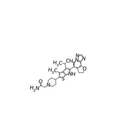 Cc1c(C2CCN(CC(N)=O)CC2)sc2[nH]c(-c3cn4ncnc4c4c3CCO4)c(C(C)C)c12